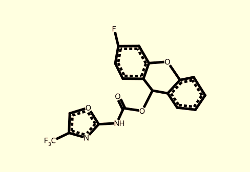 O=C(Nc1nc(C(F)(F)F)co1)OC1c2ccccc2Oc2cc(F)ccc21